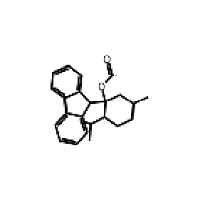 CC1CCC(C(C)C)C(O[C]=O)(C2c3ccccc3-c3ccccc32)C1